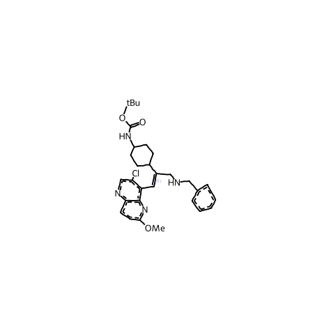 COc1ccc2ncc(Cl)c(/C=C(/CNCc3ccccc3)C3CCC(NC(=O)OC(C)(C)C)CC3)c2n1